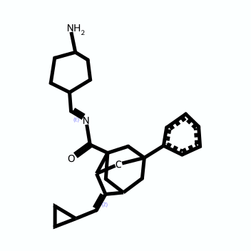 NC1CCC(/C=N/C(=O)C23CC4CC(c5ccccc5)(CC2/C4=C\C2CC2)C3)CC1